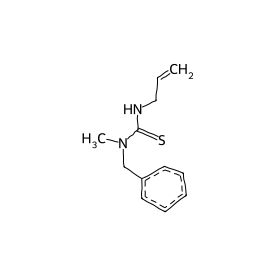 C=CCNC(=S)N(C)Cc1ccccc1